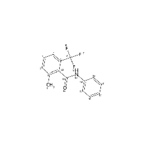 Cc1cccc(C(F)(F)F)c1C(=O)Nc1ccccc1